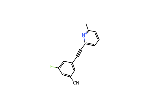 Cc1cccc(C#Cc2cc(F)cc(C#N)c2)n1